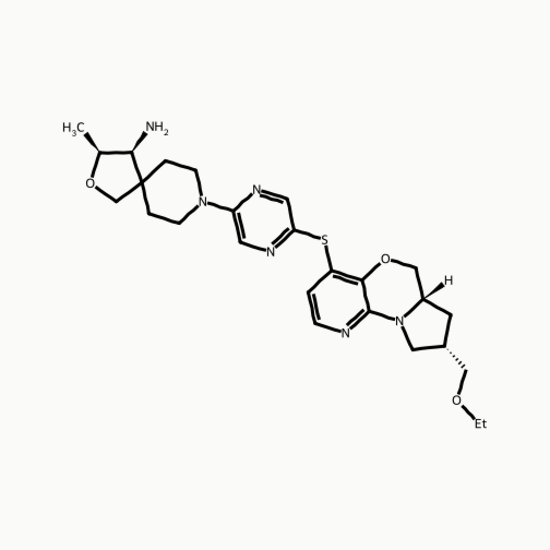 CCOC[C@H]1C[C@H]2COc3c(Sc4cnc(N5CCC6(CC5)CO[C@@H](C)[C@H]6N)cn4)ccnc3N2C1